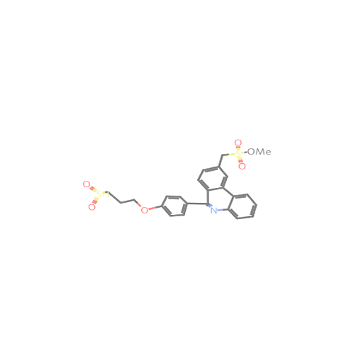 COS(=O)(=O)Cc1ccc2c(-c3ccc(OCCC[SH](=O)=O)cc3)nc3ccccc3c2c1